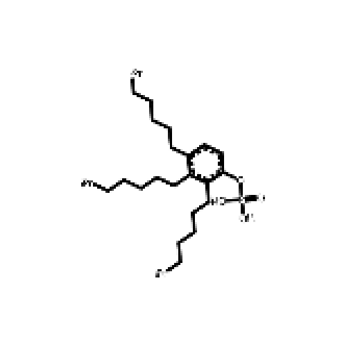 CC(C)CCCCCc1ccc(OP(=O)(O)O)c(CCCCCC(C)C)c1CCCCCC(C)C